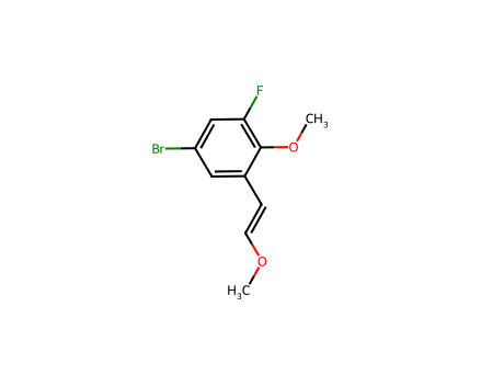 CO/C=C/c1cc(Br)cc(F)c1OC